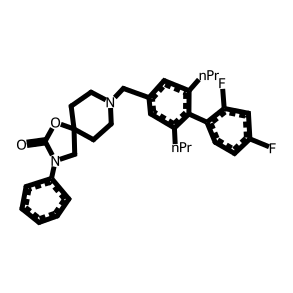 CCCc1cc(CN2CCC3(CC2)CN(c2ccccc2)C(=O)O3)cc(CCC)c1-c1ccc(F)cc1F